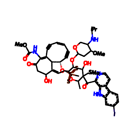 COC(=O)NC1=C2C#C/C=C\C#C[C@H](OC3OC(C)C(SC)(C(=O)c4nccc5c4[nH]c4cc(I)ccc45)C(O)C3OC3CC(OC)C(NC(C)C)CO3)C2/C(=C\CS(C)(=S)=S)[C@@H](O)CC1=O